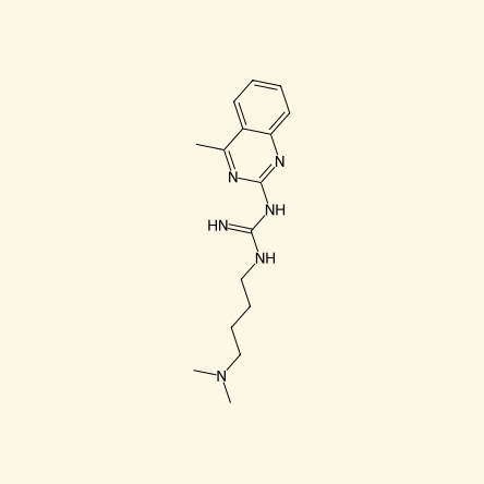 Cc1nc(NC(=N)NCCCCN(C)C)nc2ccccc12